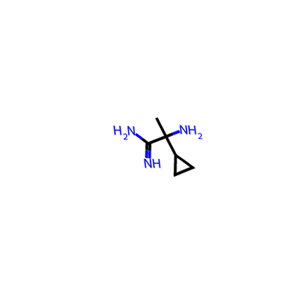 CC(N)(C(=N)N)C1CC1